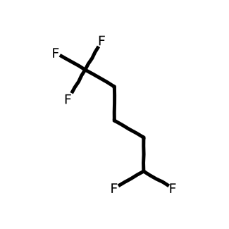 FC(F)CCCC(F)(F)F